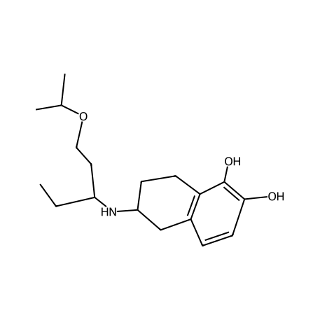 CCC(CCOC(C)C)NC1CCc2c(ccc(O)c2O)C1